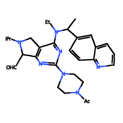 CCN(c1nc(N2CCN(C(C)=O)CC2)nc2c1CN(C(C)C)C2C=O)C(C)c1ccc2ncccc2c1